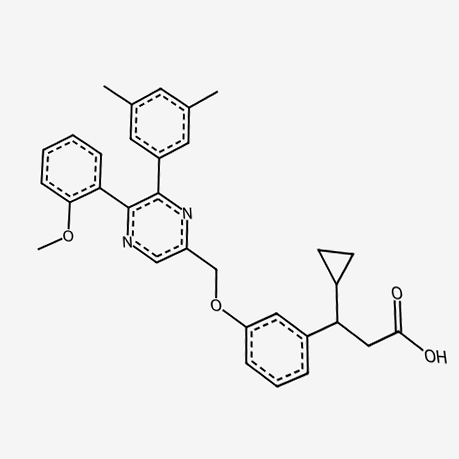 COc1ccccc1-c1ncc(COc2cccc(C(CC(=O)O)C3CC3)c2)nc1-c1cc(C)cc(C)c1